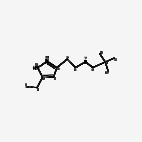 CCc1cc(CCSCC(C)(C)C)n[nH]1